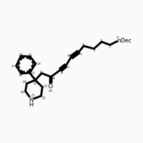 CCCCCCCCCCCCCCC#CC#CC(=O)CC1(c2ccccc2)CCNCC1